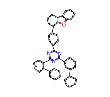 c1ccc(-c2cccc(-c3nc(-c4ccc(-c5cccc6c5oc5ccccc56)cc4)nc(-c4ccccc4-c4ccccc4)n3)c2)cc1